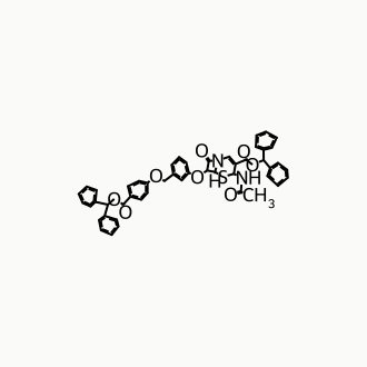 CC(=O)NC1S[C@@H]2C(Oc3cccc(COc4ccc(C(=O)OC(c5ccccc5)c5ccccc5)cc4)c3)C(=O)N2C=C1C(=O)OC(c1ccccc1)c1ccccc1